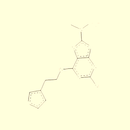 CN(C(=O)O)c1nc2c(NCCc3ccsc3)nc(N)nc2o1